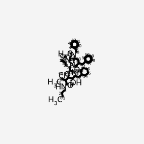 CCCCNC(=O)C(CC(O)C(CC1CCCCC1)NC(=O)[C@H](Cc1cscn1)NC(=O)C(CC(=O)N(C)Cc1ccccc1)Cc1ccccc1)C(C)C